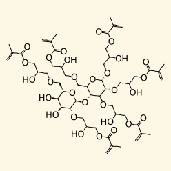 C=C(C)C(=O)OCC(O)COC[C@H]1O[C@@H](O[C@H]2[C@H](OCC(O)COC(=O)C(=C)C)[C@@H](OCC(O)COC(=O)C(=C)C)[C@@H](OCC(O)COC(=O)C(=C)C)O[C@@H]2COCC(O)COC(=O)C(=C)C)[C@H](OCC(O)COC(=O)C(=C)C)[C@@H](O)[C@H]1O